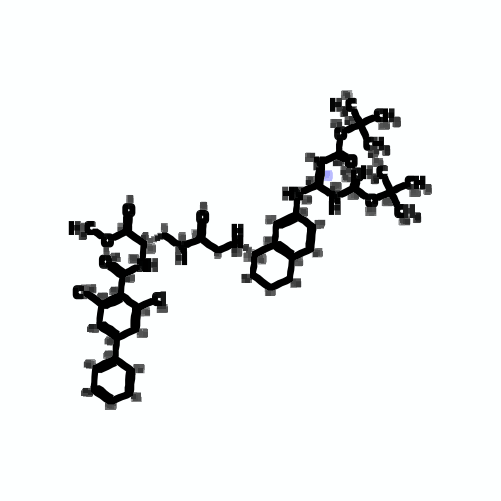 COC(=O)[C@H](CNC(=O)CN[C@H]1CCCc2ccc(N/C(=N/C(=O)OC(C)(C)C)NC(=O)OC(C)(C)C)cc21)NC(=O)c1c(Cl)cc(-c2ccccc2)cc1Cl